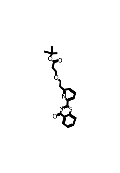 CC(C)(C)OC(=O)CCOCCc1cccc(-c2nc(=O)c3ccccc3s2)n1